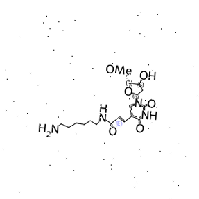 COC[C@H]1O[C@@H](n2cc(/C=C/C(=O)NCCCCCCN)c(=O)[nH]c2=O)C[C@@H]1O